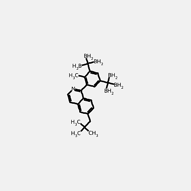 BC(B)(B)c1cc(-c2nccc3cc(CC(C)(C)C)ccc23)c(C)c(C(B)(B)B)c1